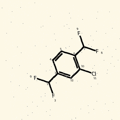 FC(F)c1ccc(C(F)F)c(Cl)c1